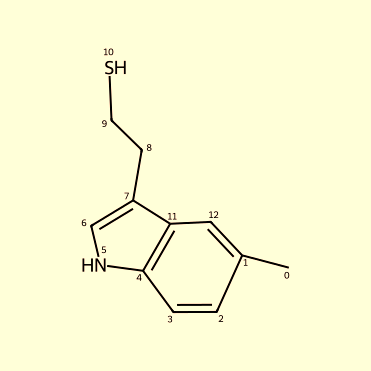 Cc1ccc2[nH]cc(CCS)c2c1